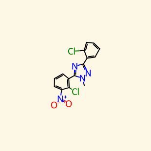 Cn1nc(-c2ccccc2Cl)nc1-c1cccc([N+](=O)[O-])c1Cl